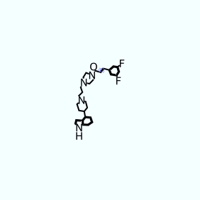 O=C(/C=C/c1cc(F)cc(F)c1)N1CCN(CCCN2CCC(c3cccc4[nH]ccc34)CC2)CC1